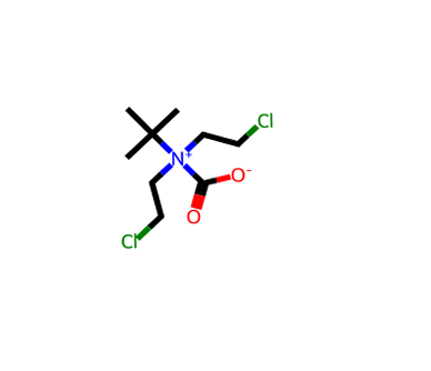 CC(C)(C)[N+](CCCl)(CCCl)C(=O)[O-]